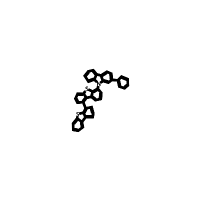 c1ccc(-c2ccc3c4ccccc4n(-c4cccc5c4sc4cccc(-c6cccc7c6sc6ccccc67)c45)c3c2)cc1